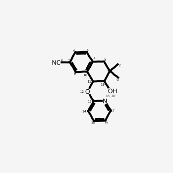 CC1(C)Cc2ccc(C#N)cc2C(Oc2ccccn2)C1O